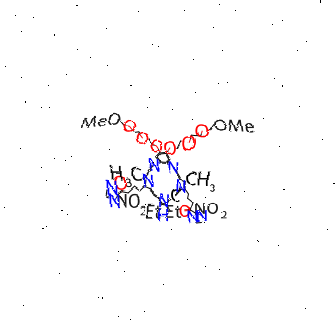 CCc1c(CC)c2cc3nc(cnc4cc(OCCOCCOCCOC)c(OCCOCCOCCOC)cc4ncc4nc(cc1[nH]2)C(CCCC(=O)C1([N+](=O)[O-])N=CC=N1)=C4C)C(C)=C3CCCC(=O)C1([N+](=O)[O-])N=CC=N1